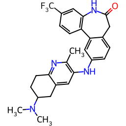 Cc1nc2c(cc1Nc1ccc3c(c1)-c1ccc(C(F)(F)F)cc1NC(=O)C3)CC(N(C)C)CC2